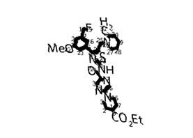 CCOC(=O)C1CCN(c2cnc(C(=O)Nc3nc(-c4cc(CF)cc(OC)c4)c(CN4CCCC[C@H]4C)s3)cn2)CC1